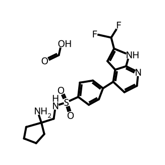 NC1(CNS(=O)(=O)c2ccc(-c3ccnc4[nH]c(C(F)F)cc34)cc2)CCCC1.O=CO